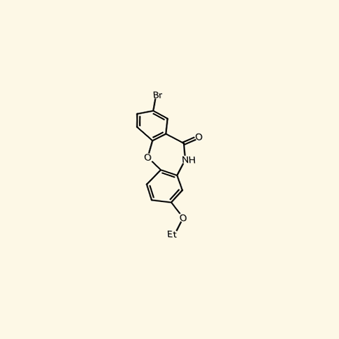 CCOc1ccc2c(c1)NC(=O)c1cc(Br)ccc1O2